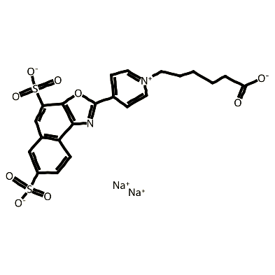 O=C([O-])CCCCC[n+]1ccc(-c2nc3c(o2)c(S(=O)(=O)[O-])cc2cc(S(=O)(=O)[O-])ccc23)cc1.[Na+].[Na+]